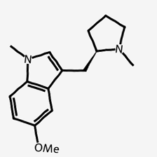 COc1ccc2c(c1)c(C[C@H]1CCCN1C)cn2C